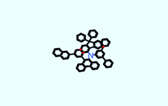 c1ccc(-c2cc(-c3ccccc3)cc(N(c3cccc4c3-c3ccccc3C4(c3ccccc3)c3ccccc3)c3c(-c4cccc(-c5ccc6ccccc6c5)c4)c4ccccc4c4ccccc34)c2)cc1